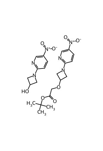 CC(C)(C)OC(=O)COC1CN(c2ccc([N+](=O)[O-])cn2)C1.O=[N+]([O-])c1ccc(N2CC(O)C2)nc1